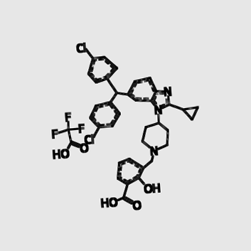 O=C(O)C(F)(F)F.O=C(O)c1cccc(CN2CCC(n3c(C4CC4)nc4ccc(C(c5ccc(Cl)cc5)c5ccc(Cl)cc5)cc43)CC2)c1O